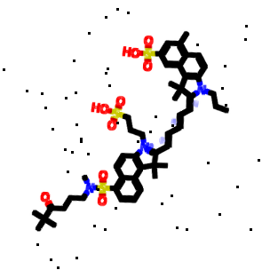 CCCN1/C(=C/C=C/C=C/C2=[N+](CCCS(=O)(=O)O)c3ccc4c(S(=O)(=O)N(C)CCCC(=O)C(C)(C)C)cccc4c3C2(C)C)C(C)(C)c2c1ccc1c(C)cc(S(=O)(=O)O)cc21